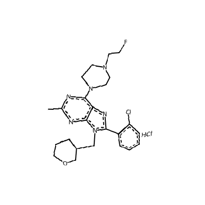 Cc1nc(N2CCN(CCF)CC2)c2nc(-c3ccccc3Cl)n(CC3CCCOC3)c2n1.Cl